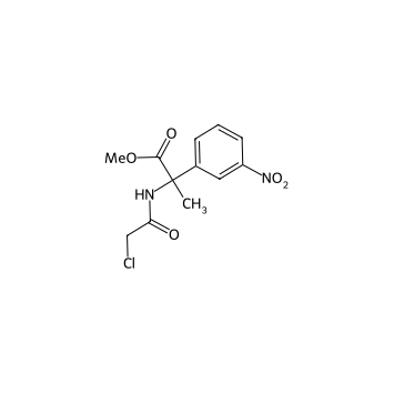 COC(=O)C(C)(NC(=O)CCl)c1cccc([N+](=O)[O-])c1